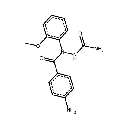 COc1ccccc1N(NC(N)=O)C(=O)c1ccc(N)cc1